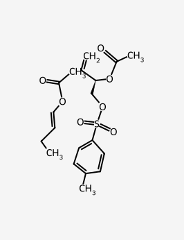 C=C[C@H](COS(=O)(=O)c1ccc(C)cc1)OC(C)=O.CCC=COC(C)=O